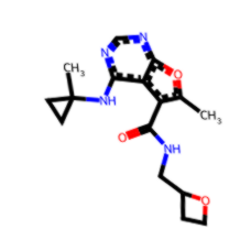 Cc1oc2ncnc(NC3(C)CC3)c2c1C(=O)NCC1CCO1